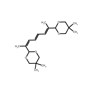 CC(=CC=CC=C(C)C1OCC(C)(C)CO1)C1OCC(C)(C)CO1